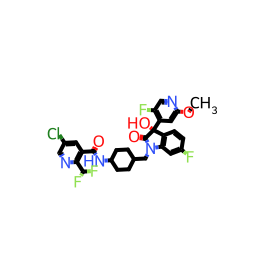 COc1cc(C2(O)C(=O)N(CC3CCC(NC(=O)c4cc(Cl)cnc4C(F)F)CC3)c3cc(F)ccc32)c(F)cn1